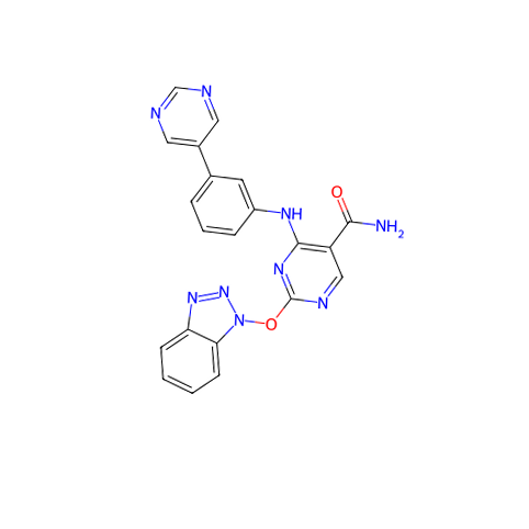 NC(=O)c1cnc(On2nnc3ccccc32)nc1Nc1cccc(-c2cncnc2)c1